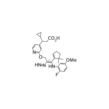 COc1ccc(F)c(N/C(C2=CCCC2(C)C)=C(/COc2cc(C(CC(=O)O)C3CC3)ccn2)N=N)c1